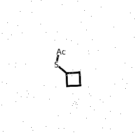 CC(=O)SC1CCC1